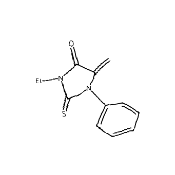 C=C1C(=O)N(CC)C(=S)N1c1ccccc1